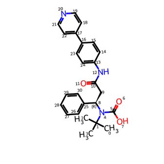 CC(C)(C)N(C(=O)O)[C@H](CC(=O)Nc1ccc(-c2ccncc2)cc1)c1ccccc1